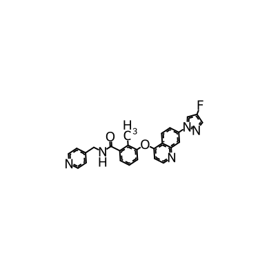 Cc1c(Oc2ccnc3cc(-n4cc(F)cn4)ccc23)cccc1C(=O)NCc1ccncc1